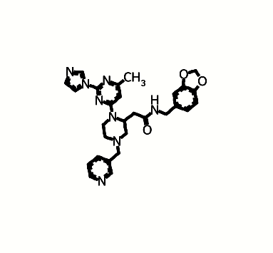 Cc1cc(N2CCN(Cc3cccnc3)CC2CC(=O)NCc2ccc3c(c2)OCO3)nc(-n2ccnc2)n1